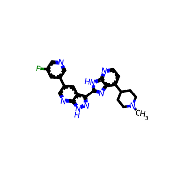 CN1CCC(c2ccnc3[nH]c(-c4n[nH]c5ncc(-c6cncc(F)c6)cc45)nc23)CC1